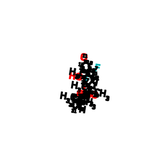 C[C@@H]1C[C@H]2[C@@H]3C[C@H](F)C4=CC(=O)C=C[C@]4(C)C3(F)[C@@H](O)C[C@]2(C)[C@]1(OC(=O)O[C@@H]1C[C@@H]2CC[C@@]1(C)C2(C)C)C(=O)O